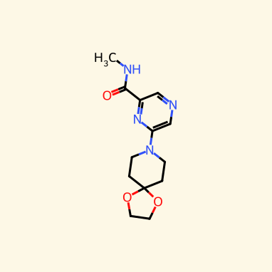 CNC(=O)c1cncc(N2CCC3(CC2)OCCO3)n1